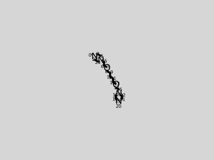 CN1CCN(CCOCC[CH]CCOCCN2CCN(C)CC2)CC1